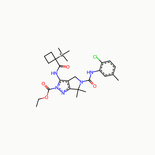 CCOC(=O)n1nc2c(c1NC(=O)C1([Si](C)(C)C)CCC1)CN(C(=O)Nc1cc(C)ccc1Cl)C2(C)C